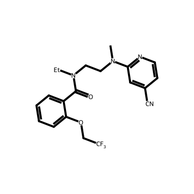 CCN(CCN(C)c1cc(C#N)ccn1)C(=O)c1ccccc1OCC(F)(F)F